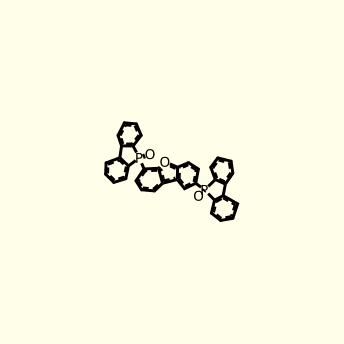 O=P1(c2ccc3oc4c(P5(=O)c6ccccc6-c6ccccc65)cccc4c3c2)c2ccccc2-c2ccccc21